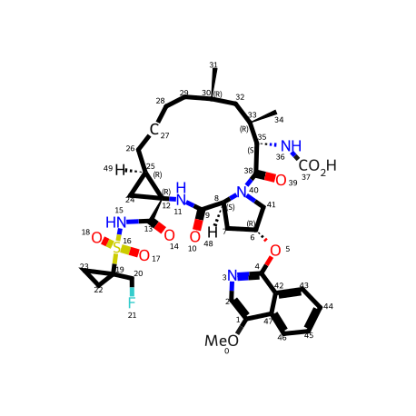 COc1cnc(O[C@@H]2C[C@H]3C(=O)N[C@]4(C(=O)NS(=O)(=O)C5(CF)CC5)C[C@H]4CCCC[C@@H](C)C[C@@H](C)[C@H](NC(=O)O)C(=O)N3C2)c2ccccc12